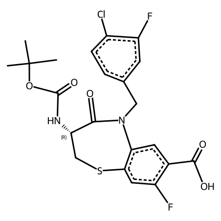 CC(C)(C)OC(=O)N[C@H]1CSc2cc(F)c(C(=O)O)cc2N(Cc2ccc(Cl)c(F)c2)C1=O